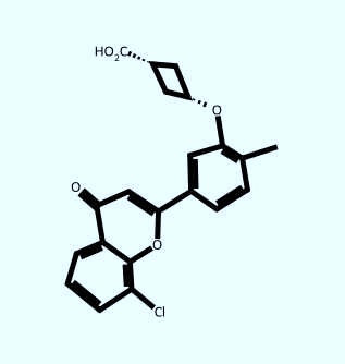 Cc1ccc(-c2cc(=O)c3cccc(Cl)c3o2)cc1O[C@H]1C[C@@H](C(=O)O)C1